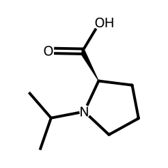 CC(C)N1CCC[C@@H]1C(=O)O